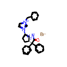 NC(=O)C(c1ccccc1)(c1ccccc1)[C@@H]1CC[C@@H](n2cc[n+](Cc3ccccc3)c2)C1.[Br-]